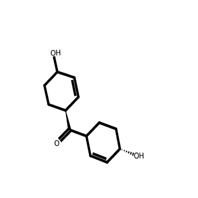 O=C(C1C=C[C@@H](O)CC1)[C@@H]1C=CC(O)CC1